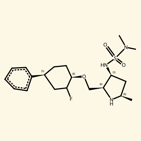 C[C@@H]1C[C@H](NS(=O)(=O)N(C)C)[C@H](CO[C@@H]2CC[C@H](c3ccccc3)CC2F)N1